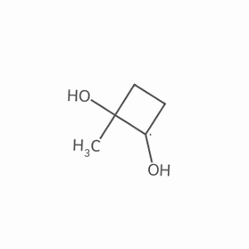 CC1(O)CC[C]1O